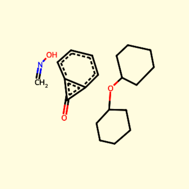 C1CCC(OC2CCCCC2)CC1.C=NO.O=c1c2ccccc12